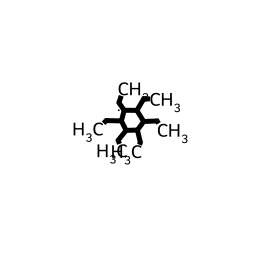 CC[C]1C(CC)C(CC)C(CC)C(CC)C1CC